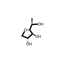 C[C@@H](O)[C@H]1O[CH][C@@H](O)[C@@H]1O